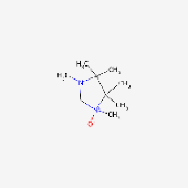 CN1C[N+](C)([O-])C(C)(C)C1(C)C